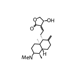 C=C1CC[C@@H]2[C@@H](C)C(NC)CC[C@@]2(C)[C@@H]1CC=C1C(=O)OC[C@H]1O